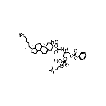 CC(C)CCC[C@@H](C)[C@H]1CCC2C3CC=C4C[C@@H](OC(=O)NC(COC(=O)Oc5ccccc5)COP(=O)(O)OCC[N+](C)(C)C)CC[C@]4(C)C3CC[C@@]21C.[OH-]